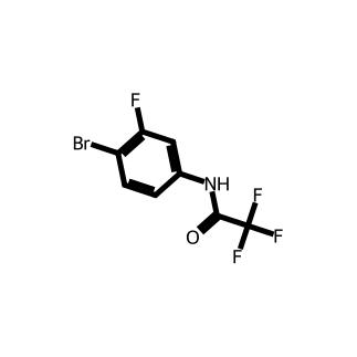 O=C(Nc1ccc(Br)c(F)c1)C(F)(F)F